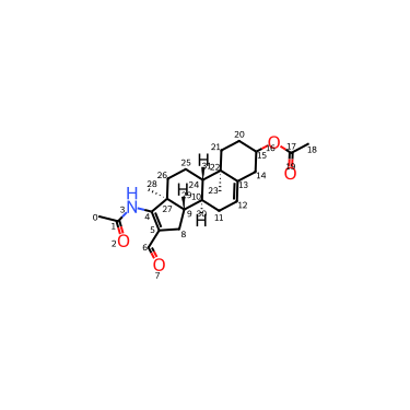 CC(=O)NC1=C(C=O)C[C@H]2[C@@H]3CC=C4CC(OC(C)=O)CC[C@]4(C)[C@H]3CC[C@]12C